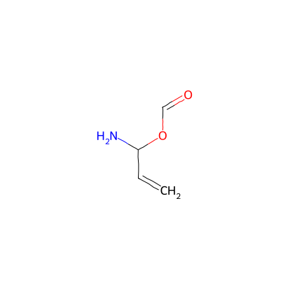 C=CC(N)OC=O